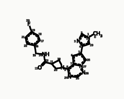 Cn1cnc(-c2cc3c(N4CC(C(=O)NCc5ccc(F)cc5)C4)ncnn3c2)c1